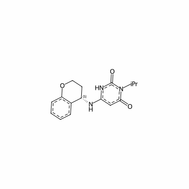 CC(C)n1c(=O)cc(N[C@H]2CCOc3ccccc32)[nH]c1=O